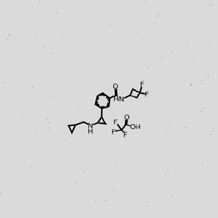 O=C(NC1CC(F)(F)C1)c1cccc(C2CC2NCC2CC2)c1.O=C(O)C(F)(F)F